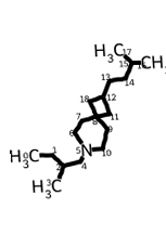 CCC(C)CN1CCC2(CC1)CC(CCC(C)C)C2